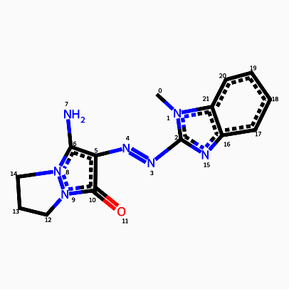 Cn1c(/N=N/c2c(N)n3n(c2=O)CCC3)nc2ccccc21